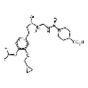 CC(=O)N1CC(c2ccc(OC(F)F)c(OCC3CC3)c2)C[C@@H]1CNC(=O)N1CCC(C(=O)O)CC1